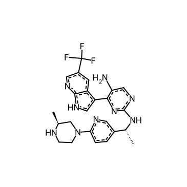 C[C@H]1CN(c2ccc([C@@H](C)Nc3ncc(N)c(-c4c[nH]c5ncc(C(F)(F)F)cc45)n3)cn2)CCN1